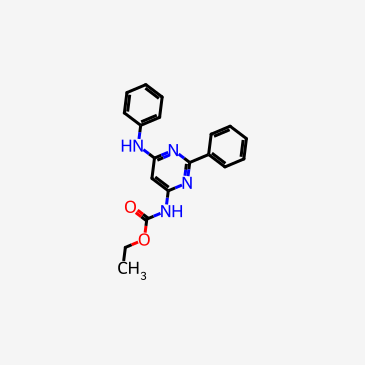 CCOC(=O)Nc1cc(Nc2ccccc2)nc(-c2ccccc2)n1